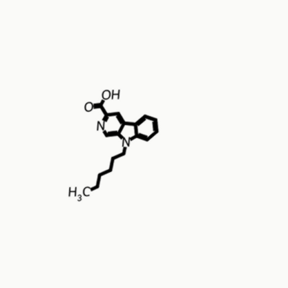 CCCCCCn1c2ccccc2c2cc(C(=O)O)ncc21